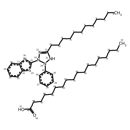 CCCCCCCCCCCCC1=NN(c2nc3ccccc3s2)N(c2ccccc2)N1.CCCCCCCCCCCCCCCCCC(=O)O